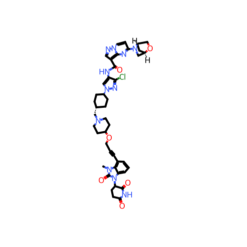 Cn1c(=O)n(C2CCC(=O)NC2=O)c2cccc(C#CCOC3CCN(C[C@H]4CC[C@H](n5cc(NC(=O)c6cnn7ccc(N8C[C@H]9C[C@@H]8CO9)nc67)c(Cl)n5)CC4)CC3)c21